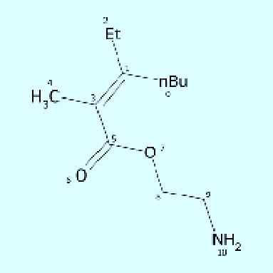 CCCCC(CC)=C(C)C(=O)OCCN